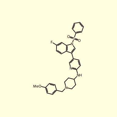 COc1ccc(CN2CCC(Nc3ccc(-c4cn(S(=O)(=O)c5ccccc5)c5cc(F)ccc45)cn3)CC2)cc1